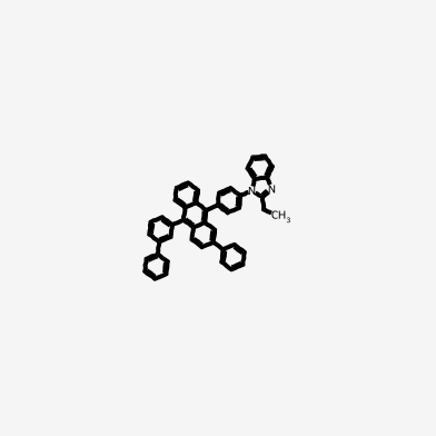 CCc1nc2ccccc2n1-c1ccc(-c2c3ccccc3c(-c3cccc(-c4ccccc4)c3)c3ccc(-c4ccccc4)cc23)cc1